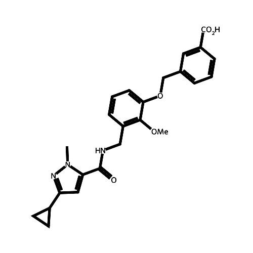 COc1c(CNC(=O)c2cc(C3CC3)nn2C)cccc1OCc1cccc(C(=O)O)c1